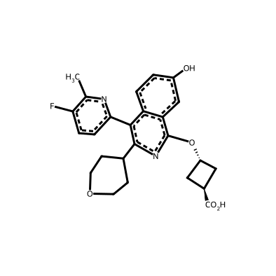 Cc1nc(-c2c(C3CCOCC3)nc(O[C@H]3C[C@H](C(=O)O)C3)c3cc(O)ccc23)ccc1F